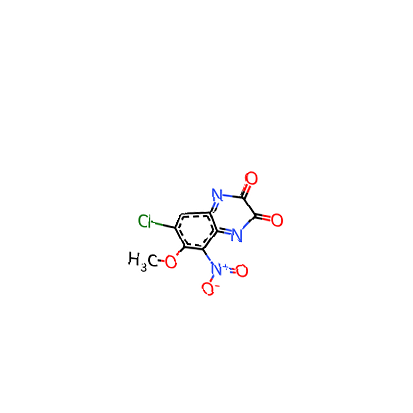 COc1c(Cl)cc2c(c1[N+](=O)[O-])=NC(=O)C(=O)N=2